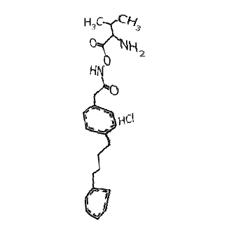 CC(C)C(N)C(=O)ONC(=O)Cc1ccc(CCCCc2ccccc2)cc1.Cl